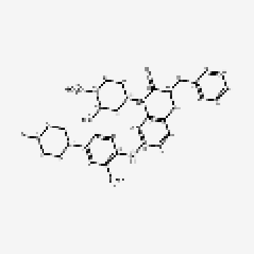 COc1cc(N2CCN(C)CC2)ccc1Nc1ncc2c(n1)N(C1CCN(C(=O)O)C(C(C)(C)C)C1)C(=O)N(Cc1ccccc1)C2